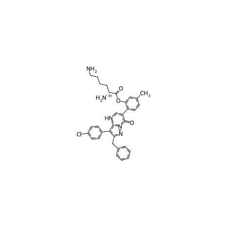 Cc1ccc(-c2c[nH]c3c(-c4ccc(Cl)cc4)c(Cc4ccccc4)nn3c2=O)c(OC(=O)[C@H](N)CCCCN)c1